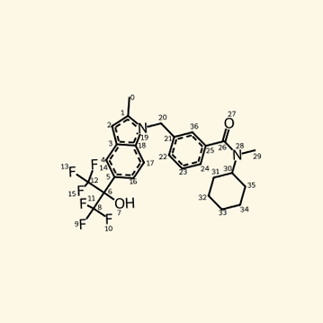 Cc1cc2cc(C(O)(C(F)(F)F)C(F)(F)F)ccc2n1Cc1cccc(C(=O)N(C)C2CCCCC2)c1